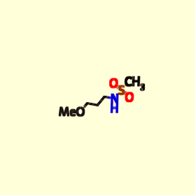 COCCCNS(C)(=O)=O